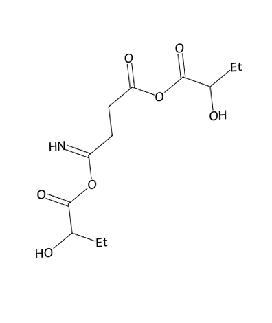 CCC(O)C(=O)OC(=N)CCC(=O)OC(=O)C(O)CC